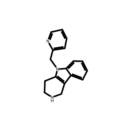 c1ccc(Cn2c3c(c4ccccc42)CNCC3)nc1